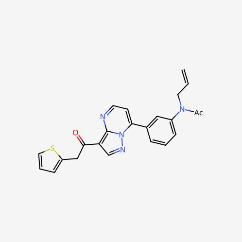 C=CCN(C(C)=O)c1cccc(-c2ccnc3c(C(=O)Cc4cccs4)cnn23)c1